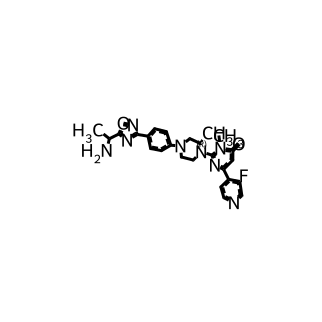 CC(N)c1nc(-c2ccc(N3CCN(c4nc(-c5ccncc5F)cc(=O)n4C)[C@H](C)C3)cc2)no1